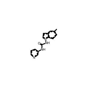 Cc1ccc2c(ccn2NC(=O)Nc2cccnc2)c1